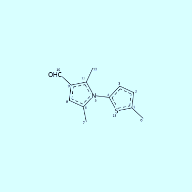 Cc1ccc(-n2c(C)cc(C=O)c2C)s1